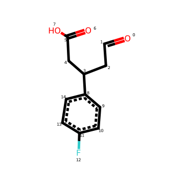 O=CCC(CC(=O)O)c1ccc(F)cc1